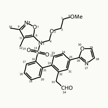 COCCOCN(c1onc(C)c1C)S(=O)(=O)c1ccccc1-c1ccc(-c2ncco2)cc1CC=O